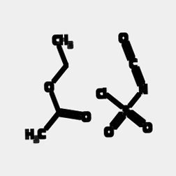 CCOC(C)=O.O=C=NS(=O)(=O)Cl